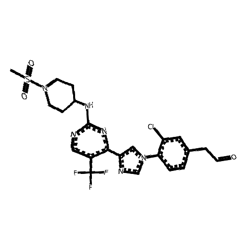 CS(=O)(=O)N1CCC(Nc2ncc(C(F)(F)F)c(-c3cn(-c4ccc(CC=O)cc4Cl)cn3)n2)CC1